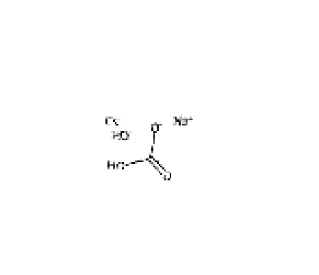 O=C([O-])O.[Cs+].[Na+].[OH-]